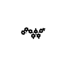 Cc1ccc2c(c1)B1c3cc(C)ccc3N(c3ccc(C(C)(C)C)cc3)c3cc(C)cc(c31)N2c1ccc(-c2cccc3c2oc2ccccc23)cc1